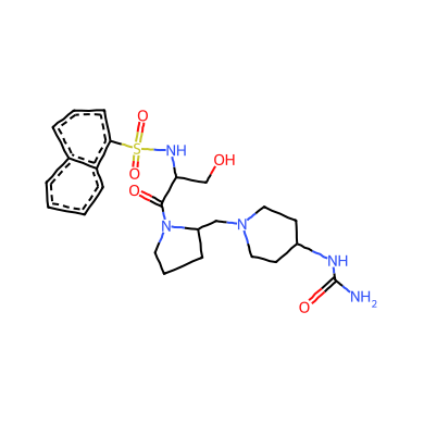 NC(=O)NC1CCN(CC2CCCN2C(=O)C(CO)NS(=O)(=O)c2cccc3ccccc23)CC1